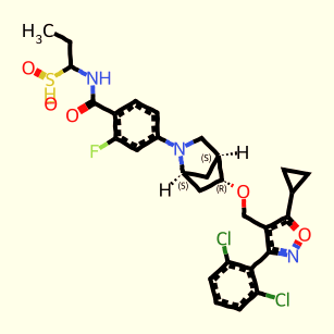 CCC(NC(=O)c1ccc(N2C[C@@H]3C[C@H]2C[C@H]3OCc2c(-c3c(Cl)cccc3Cl)noc2C2CC2)cc1F)[SH](=O)=O